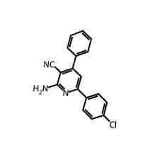 N#Cc1c(-c2ccccc2)cc(-c2ccc(Cl)cc2)nc1N